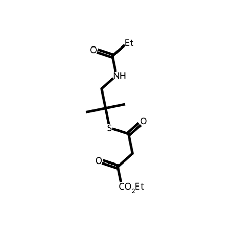 CCOC(=O)C(=O)CC(=O)SC(C)(C)CNC(=O)CC